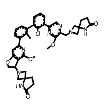 COc1nc(-c2cccc(-c3cccc(-c4cc5c(c(OC)n4)C(N4CC6(CCC(=O)N6)C4)CO5)c3C)c2Cl)cnc1CN1CC2(CCC(=O)N2)C1